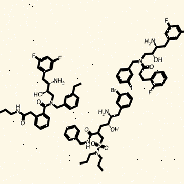 CCCN(CCC)S(=O)(=O)CC(C[C@@H](O)[C@@H](N)Cc1cccc(Br)c1)C(=O)NCc1ccccc1.CCCNC(=O)Cc1ccccc1C(=O)N(Cc1cccc(CC)c1)C[C@@H](O)[C@@H](N)Cc1cc(F)cc(F)c1.N[C@@H](Cc1cc(F)cc(F)c1)[C@H](O)CN(Cc1cccc(I)c1)C(=O)CCc1ccccc1F